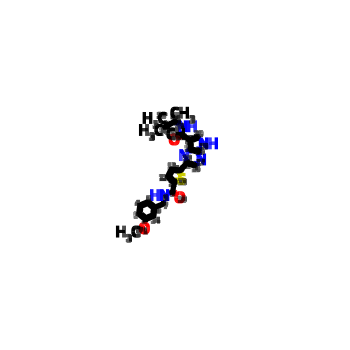 COc1cccc(CNC(=O)c2ccc(-c3cnc4[nH]cc(C(=O)N[C@@H](C)C(C)(C)C)c4n3)s2)c1